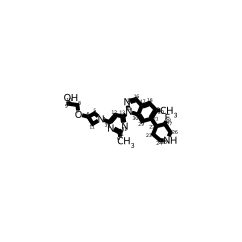 Cc1nc(N2CC(OCCO)C2)cc(-n2ncc3cc(C)c(C4CCNCC4F)cc32)n1